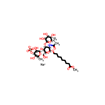 COC(=O)CCCCCCCCO[C@@H]1O[C@H](CO)[C@@H](O[C@@H]2O[C@H](C)[C@H](O)[C@H](OS(=O)(=O)[O-])[C@H]2O)[C@H](O[C@@H]2O[C@@H](C)[C@@H](O)[C@@H](O)[C@@H]2O)[C@H]1NC(C)=O.[Na+]